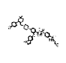 COCCNC(=O)c1ccc(S(=O)(=O)NC(=O)c2ccc(N3CCN(CC4=C(c5ccc(Cl)cc5)CC(C)(C)CC4)CC3)cc2Oc2ccc3[nH]ccc3c2)cc1